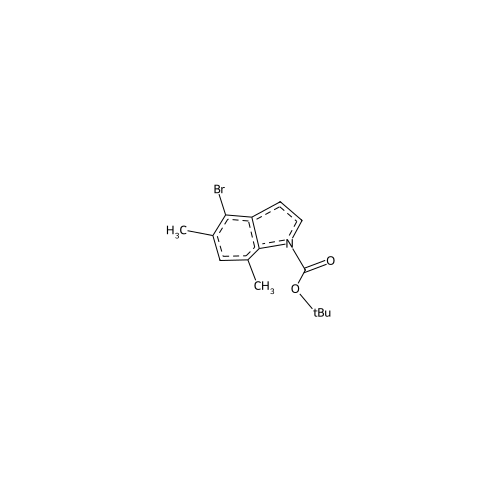 Cc1cc(C)c2c(ccn2C(=O)OC(C)(C)C)c1Br